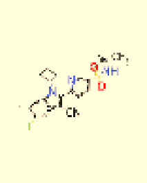 Cc1cc2c(cc1F)c(C#N)c(-c1ccc(S(=O)(=O)N[C@H](C)C(F)(F)F)cn1)n2C1CCC1